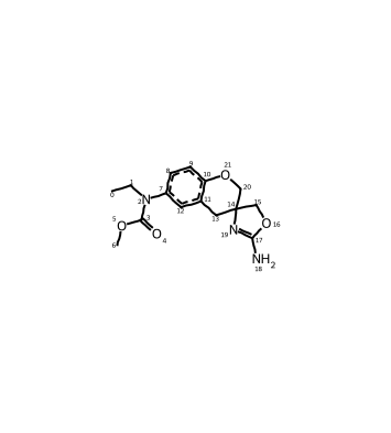 CCN(C(=O)OC)c1ccc2c(c1)CC1(COC(N)=N1)CO2